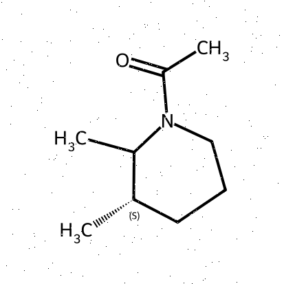 CC(=O)N1CCC[C@H](C)C1C